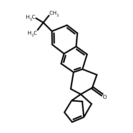 CC(C)(C)c1ccc2cc3c(cc2c1)CC1(CC2=CCC1C2)C(=O)C3